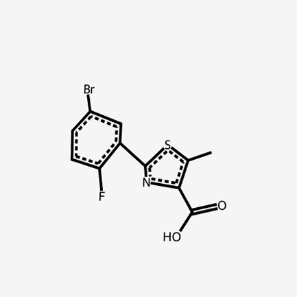 Cc1sc(-c2cc(Br)ccc2F)nc1C(=O)O